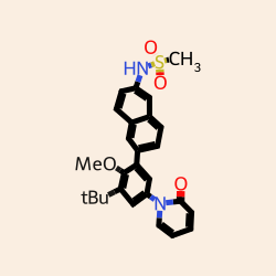 COc1c(-c2ccc3cc(NS(C)(=O)=O)ccc3c2)cc(-n2ccccc2=O)cc1C(C)(C)C